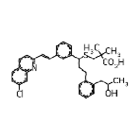 CC(O)Cc1ccccc1CCC(SCC(C)(C)C(=O)O)c1cccc(C=Cc2ccc3ccc(Cl)cc3n2)c1